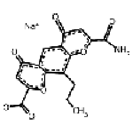 CCCc1c2oc(C(N)=O)cc(=O)c2cc2c(=O)cc(C(=O)[O-])oc12.[Na+]